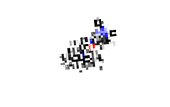 Bc1c(B)c(-c2nc3c(B)c(-c4nc(-c5ccccc5)nc(-c5ccccc5)n4)c(B)c(B)c3o2)c(B)c(-n2c3c(B)c(B)c(B)c(B)c3c3c(B)c(B)c(B)c(B)c32)c1B